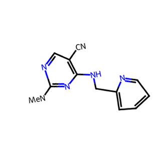 CNc1ncc(C#N)c(NCc2ccccn2)n1